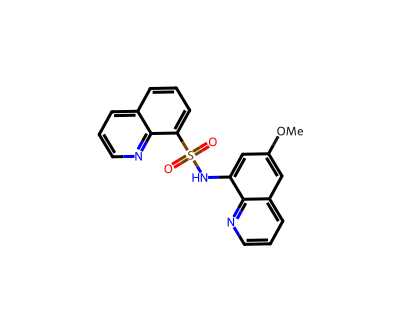 COc1cc(NS(=O)(=O)c2cccc3cccnc23)c2ncccc2c1